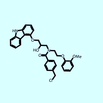 COc1ccccc1OCCN(CC(O)COc1cccc2[nH]c3ccccc3c12)C(=O)c1ccc(CCl)cc1